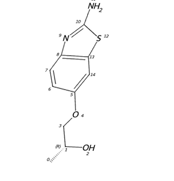 C[C@@H](O)COc1ccc2nc(N)sc2c1